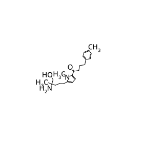 Cc1ccc(CCCC(=O)c2ccc(CCCC(C)(N)CO)n2C)cc1